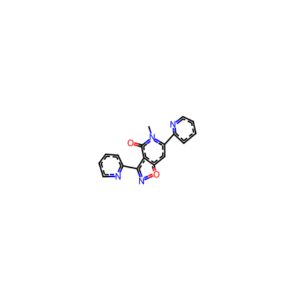 Cn1c(-c2ccccn2)cc2onc(-c3ccccn3)c2c1=O